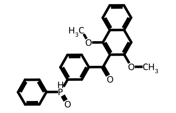 COc1cc2ccccc2c(OC)c1C(=O)c1cccc([PH](=O)c2ccccc2)c1